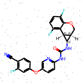 N#Cc1ccc(Oc2ccc(NC(=O)N[C@@H]3[C@@H]4COc5c(F)ccc(F)c5[C@@H]43)nc2)cc1F